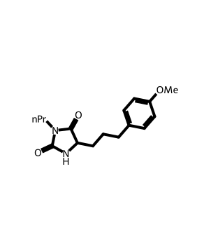 CCCN1C(=O)NC(CCCc2ccc(OC)cc2)C1=O